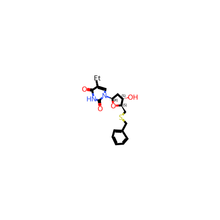 CCc1cn([C@H]2C[C@H](O)[C@@H](CSCc3ccccc3)O2)c(=O)[nH]c1=O